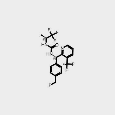 C[C@H](NC(=O)N[C@@H](c1ccc(CF)cc1)c1ncccc1C(F)(F)F)C(F)(F)F